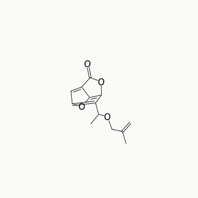 C=C(C)COC(C)c1c2c3oc1cc3C(=O)O2